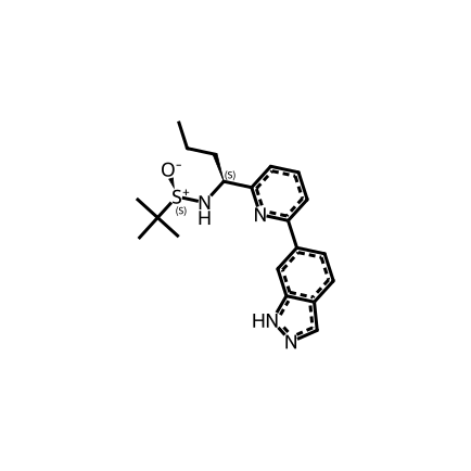 CCC[C@H](N[S@+]([O-])C(C)(C)C)c1cccc(-c2ccc3cn[nH]c3c2)n1